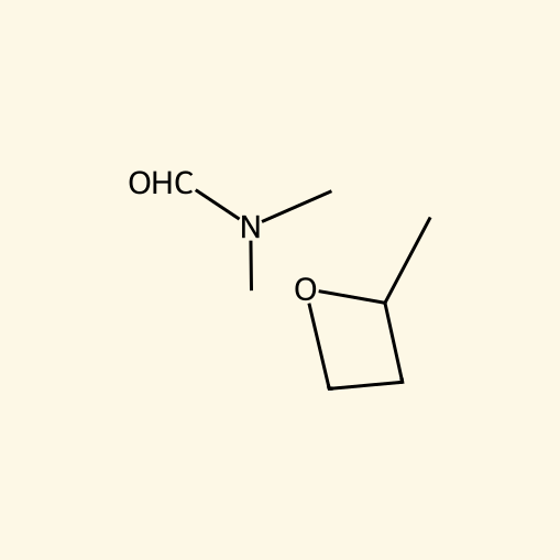 CC1CCO1.CN(C)C=O